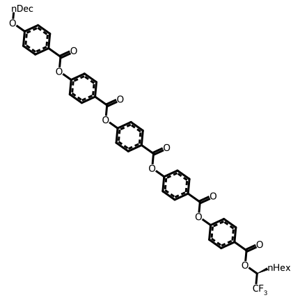 CCCCCCCCCCOc1ccc(C(=O)Oc2ccc(C(=O)Oc3ccc(C(=O)Oc4ccc(C(=O)Oc5ccc(C(=O)O[C@@H](CCCCCC)C(F)(F)F)cc5)cc4)cc3)cc2)cc1